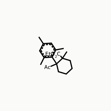 CCOC(=O)C1(C)CCCCC1(C(C)=O)c1c(C)cc(C)cc1C